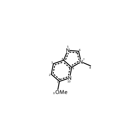 COc1ccc2ncn(C)c2n1